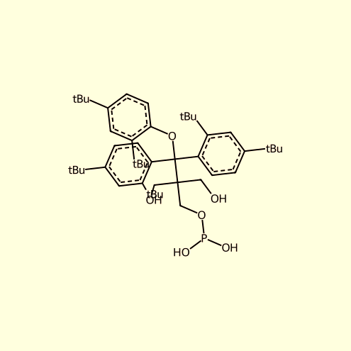 CC(C)(C)c1ccc(OC(c2ccc(C(C)(C)C)cc2C(C)(C)C)(c2ccc(C(C)(C)C)cc2C(C)(C)C)C(CO)(CO)COP(O)O)c(C(C)(C)C)c1